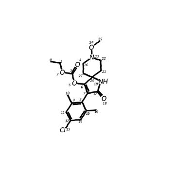 CCOC(=O)OC1=C(c2c(C)cc(Cl)cc2C)C(=O)NC12CCN(OC)CC2